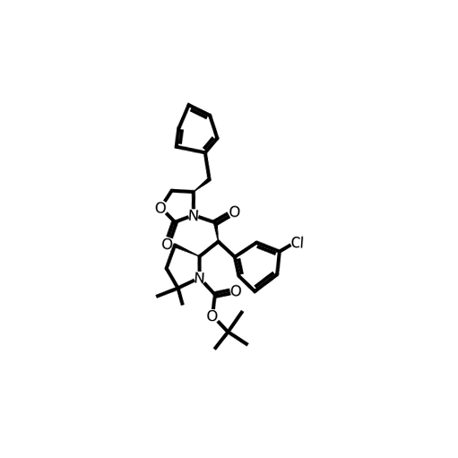 CC(C)(C)OC(=O)N1[C@H]([C@@H](C(=O)N2C(=O)OC[C@H]2Cc2ccccc2)c2cccc(Cl)c2)CCC1(C)C